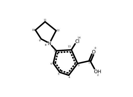 O=C(O)c1cccc(N2CCCC2)c1Cl